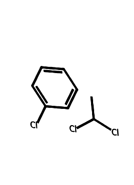 CC(Cl)Cl.Clc1ccccc1